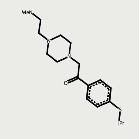 CNCCN1CCN(CC(=O)c2ccc(SC(C)C)cc2)CC1